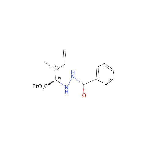 C=C[C@@H](C)[C@@H](NNC(=O)c1ccccc1)C(=O)OCC